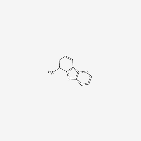 CC1CC=Cc2c1sc1ccccc21